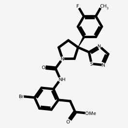 COC(=O)Cc1ccc(Br)cc1NC(=O)N1CC[C@](c2ccc(C)c(F)c2)(c2ncns2)C1